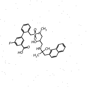 CN(CC(O)CNC(C)(C)Cc1ccc2ccccc2c1)S(=O)(=O)Cc1ccccc1-c1cc(F)cc(C(=O)O)c1